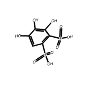 O=S(=O)(O)c1cc(O)c(O)c(O)c1S(=O)(=O)O